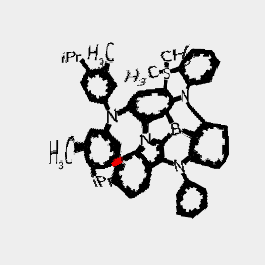 Cc1cc(N(c2ccc(C(C)C)c(C)c2)c2cc3c4c5c2-n2c6c(c7ccccc72)N(c2ccccc2)c2cccc(c2B56)N4c2ccccc2S3(C)C)ccc1C(C)C